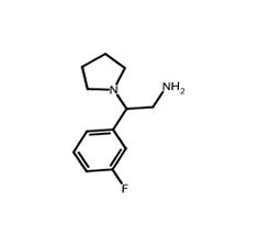 NCC(c1cccc(F)c1)N1CCCC1